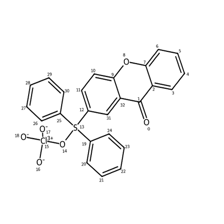 O=c1c2ccccc2oc2ccc(S(O[Cl+3]([O-])([O-])[O-])(c3ccccc3)c3ccccc3)cc12